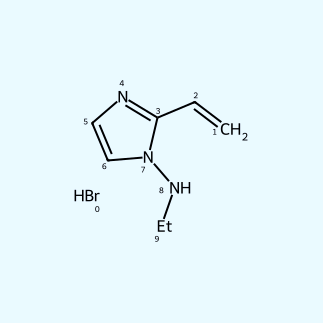 Br.C=Cc1nccn1NCC